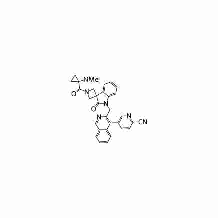 CNC1(C(=O)N2CC3(C2)C(=O)N(Cc2ncc4ccccc4c2-c2ccc(C#N)nc2)c2ccccc23)CC1